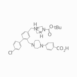 CC(C)(C)OC(=O)N1C[C@H]2C[C@@H]1CN2Cc1ccc(-c2ccc(Cl)cc2)c(CN2CCN(c3ccc(C(=O)O)cc3)CC2)c1